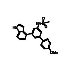 COc1ccc(-c2cc(NS(C)(=O)=O)cc(-c3cccc4[nH]ccc34)c2)cn1